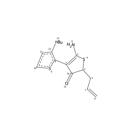 C=CCC1SC(N)=C(c2sccc2CCCC)C1=O